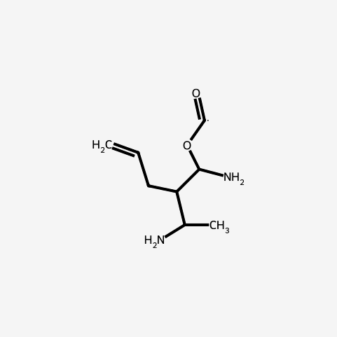 C=CCC(C(C)N)C(N)O[C]=O